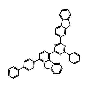 C1=CCC(c2nc(-c3ccc4c(c3)oc3ccccc34)nc(-c3ccc(-c4ccc(-c5ccccc5)cc4)c4oc5ccccc5c34)n2)C=C1